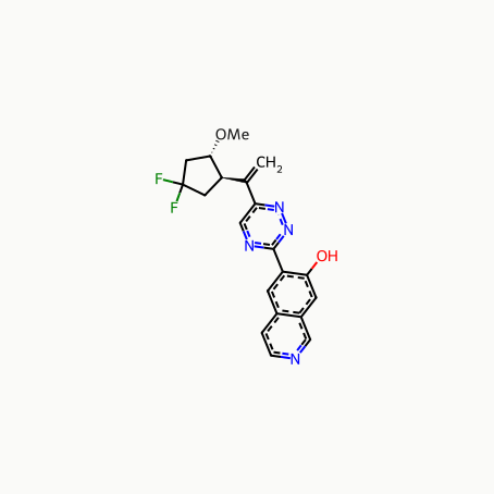 C=C(c1cnc(-c2cc3ccncc3cc2O)nn1)[C@H]1CC(F)(F)C[C@@H]1OC